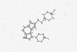 CN1CCC(c2c[nH]c3ccc4oc(CCN5CCN(C)CC5)nc4c23)CC1